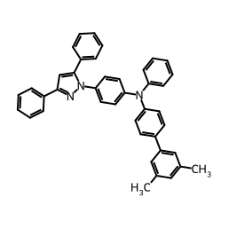 Cc1cc(C)cc(-c2ccc(N(c3ccccc3)c3ccc(-n4nc(-c5ccccc5)cc4-c4ccccc4)cc3)cc2)c1